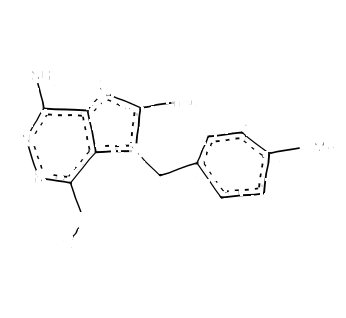 CCCCOc1nnc(N)c2nc(CCCC)n(Cc3ccc(OC)cc3)c12